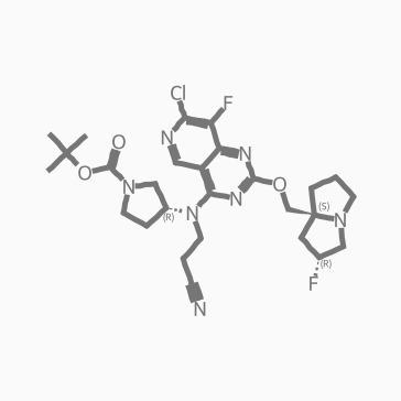 CC(C)(C)OC(=O)N1CC[C@@H](N(CCC#N)c2nc(OC[C@@]34CCCN3C[C@H](F)C4)nc3c(F)c(Cl)ncc23)C1